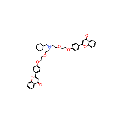 O=c1cc(-c2ccc(OCCOCCN(CCOCCOc3ccc(-c4cc(=O)c5ccccc5o4)cc3)CC3CCCCC3)cc2)oc2ccccc12